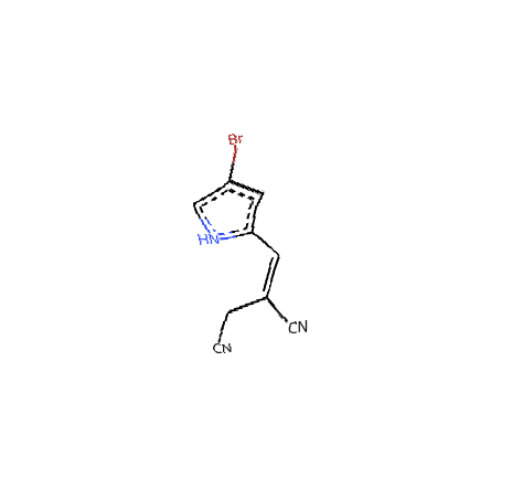 N#CCC(C#N)=Cc1cc(Br)c[nH]1